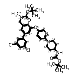 CN(Cc1cc(Oc2ccc(N3CCC(NC(=O)OC(C)(C)C)CC3)nc2)cc(-c2cc(Cl)cc(Cl)c2)c1)C(=O)OC(C)(C)C